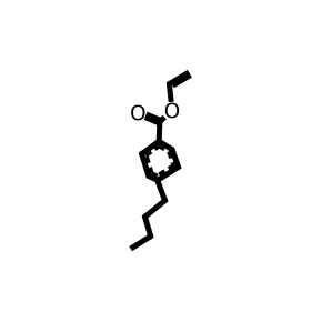 C=COC(=O)c1ccc(CCCC)cc1